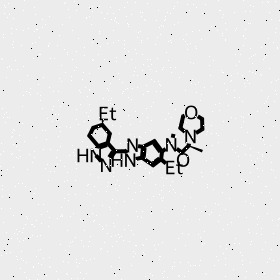 CCc1cc2[nH]c(-c3n[nH]c4c3C[C@@H](CC)CC4)nc2cc1N(C)C(=O)[C@H](C)N1CCOCC1